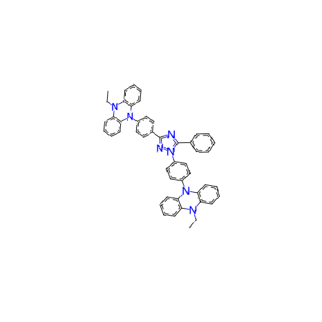 CCN1c2ccccc2N(c2ccc(-c3nc(-c4ccccc4)n(-c4ccc(N5c6ccccc6N(CC)c6ccccc65)cc4)n3)cc2)c2ccccc21